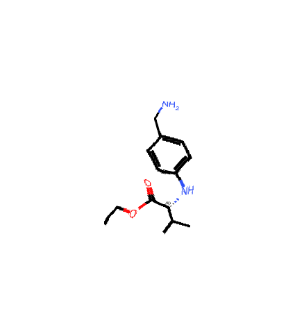 CCOC(=O)[C@H](Nc1ccc(CN)cc1)C(C)C